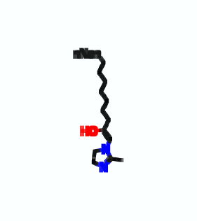 CCCCCCCCCCCCCCCC/C(O)=C/N1CCN=C1C